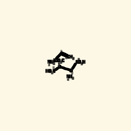 C=CC(=O)OCC.N.N.O=S(=O)(O)OOS(=O)(=O)O